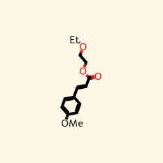 CCOCCOC(=O)C=Cc1ccc(OC)cc1